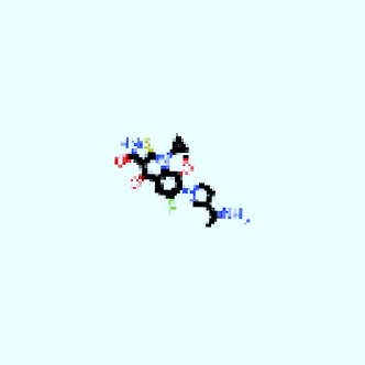 COc1c(N2CCC(C(C)N)C2)c(F)cc2c(=O)c3c(=O)[nH]sc3n(C3CC3)c12